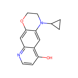 Oc1ccnc2cc3c(cc12)N(C1CC1)CCO3